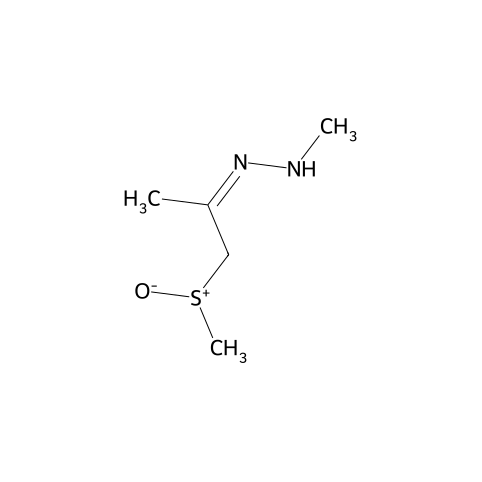 CNN=C(C)C[S+](C)[O-]